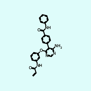 C=CC(=O)Nc1cccc(Oc2ncnc(N)c2-c2ccc(C(=O)Nc3ccccc3)cc2)c1